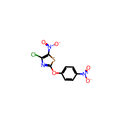 O=[N+]([O-])c1ccc(Oc2nc(Cl)c([N+](=O)[O-])s2)cc1